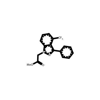 COC(=O)Cn1nc(-c2ccccc2)c2c(C(F)(F)F)cccc21